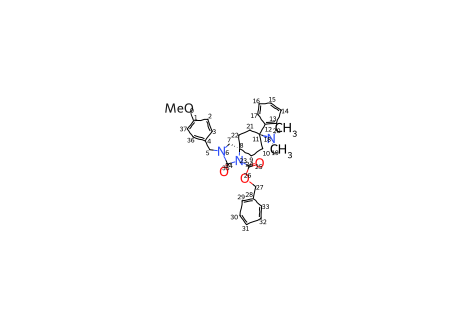 COc1ccc(CN2C[C@]3(CC[C@](c4ccccc4)(N(C)C)CC3)N(C(=O)OCc3ccccc3)C2=O)cc1